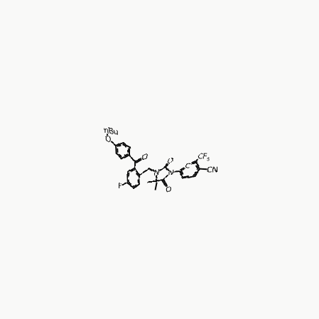 CCCCOc1ccc(C(=O)c2cc(F)ccc2CN2C(=O)N(c3ccc(C#N)c(C(F)(F)F)c3)C(=O)C2(C)C)cc1